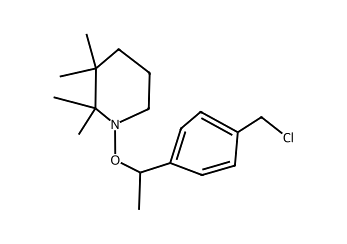 CC(ON1CCCC(C)(C)C1(C)C)c1ccc(CCl)cc1